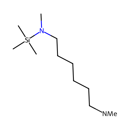 CNCCCCCCN(C)[Si](C)(C)C